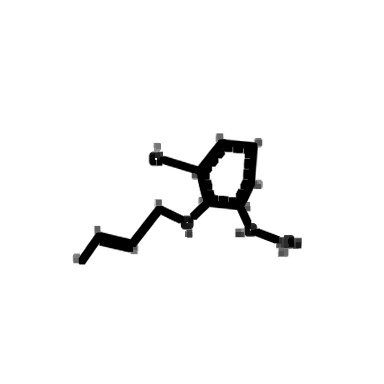 CC=CCOc1c(Cl)cccc1OCCCC